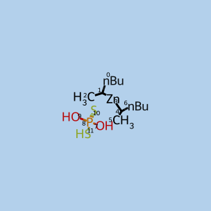 CCCC[CH](C)[Zn][CH](C)CCCC.OP(O)(=S)S